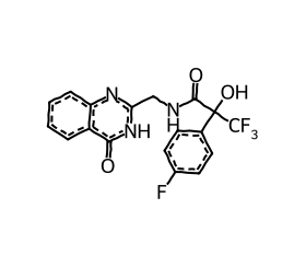 O=C(NCc1nc2ccccc2c(=O)[nH]1)C(O)(c1ccc(F)cc1)C(F)(F)F